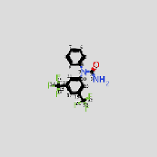 NC(=O)N(c1ccccc1)c1cc(C(F)(F)F)cc(C(F)(F)F)c1